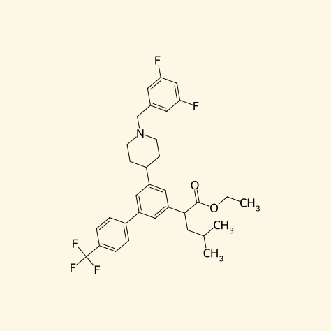 CCOC(=O)C(CC(C)C)c1cc(-c2ccc(C(F)(F)F)cc2)cc(C2CCN(Cc3cc(F)cc(F)c3)CC2)c1